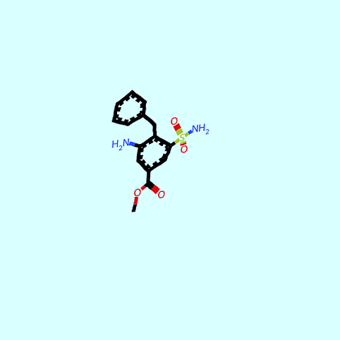 COC(=O)c1cc(N)c(Cc2ccccc2)c(S(N)(=O)=O)c1